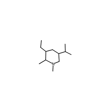 CCC1CC(C(C)C)CN(C)C1C